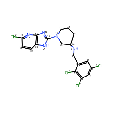 Clc1cc(Cl)c(Cl)c(CNC2CCCN(c3nc4nc(Cl)ccc4[nH]3)C2)c1